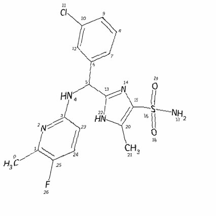 Cc1nc(NC(c2cccc(Cl)c2)c2nc(S(N)(=O)=O)c(C)[nH]2)ccc1F